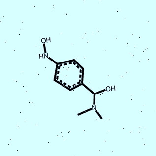 CN(C)C(O)c1ccc(NO)cc1